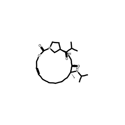 CC(C)N[C@@]1(C)CCCCC/C=C\COC(=O)N2CC[C@@](C(=O)C(C)C)(C2)NCC1=O